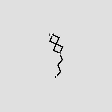 FCCCN1CC2(CNC2)C1